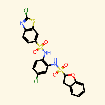 O=S(=O)(Nc1ccc(Cl)cc1NS(=O)(=O)C1Cc2ccccc2O1)c1ccc2nc(Cl)sc2c1